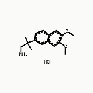 COc1cc2ccc(C(C)(C)CN)cc2cc1OC.Cl